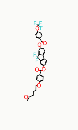 O=C(Oc1ccc2c(c1)C(F)(F)c1cc(OC(=O)c3ccc(OC(F)(F)F)cc3)ccc1-2)c1ccc(OCCCCC2CO2)cc1